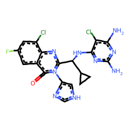 Nc1nc(N)c(Cl)c(N[C@H](c2nc3c(Cl)cc(F)cc3c(=O)n2-c2c[nH]cn2)C2CC2)n1